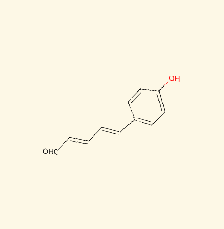 O=CC=CC=Cc1ccc(O)cc1